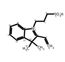 C=CC1=[N+](CCCS(=O)(=O)O)c2ccccc2C1(C)C